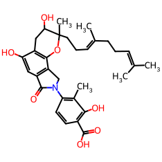 CC(C)=CCC/C(C)=C/CCC1(C)Oc2c(c(O)cc3c2CN(c2ccc(C(=O)O)c(O)c2C)C3=O)CC1O